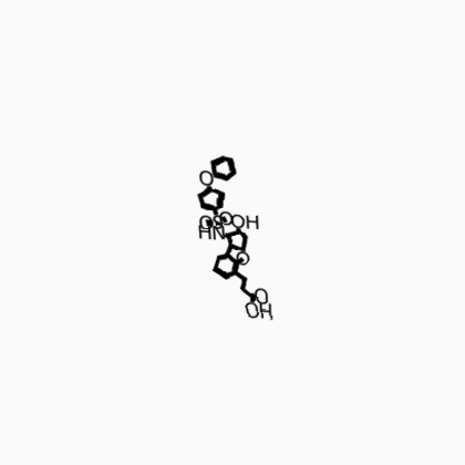 O=C(O)CCc1cccc2c1OC1CC(O)C(NS(=O)(=O)c3ccc(Oc4ccccc4)cc3)C21